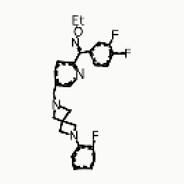 CCO/N=C(\c1ccc(F)c(F)c1)c1ccc(CN2CC3(C2)CN(c2ccccc2F)C3)cn1